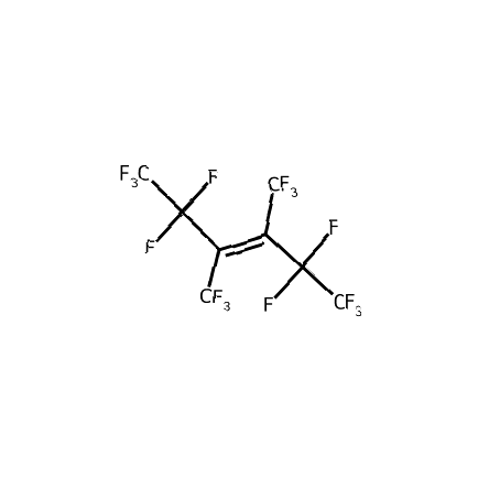 FC(F)(F)C(=C(C(F)(F)F)C(F)(F)C(F)(F)F)C(F)(F)C(F)(F)F